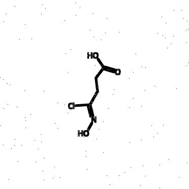 O=C(O)CCC(Cl)=NO